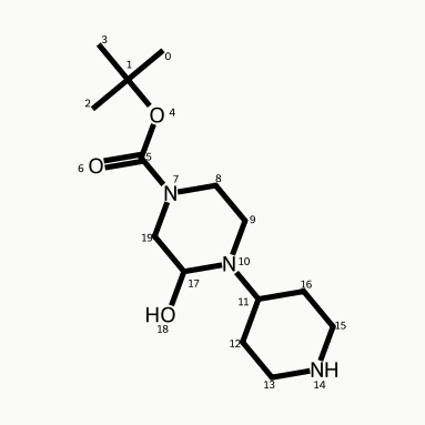 CC(C)(C)OC(=O)N1CCN(C2CCNCC2)C(O)C1